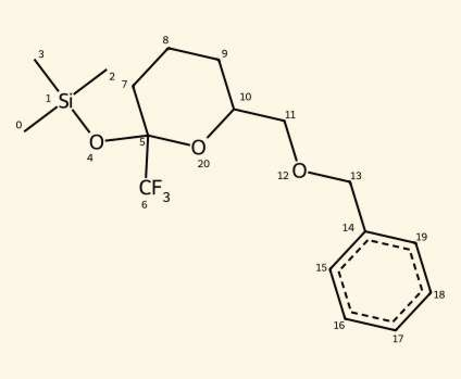 C[Si](C)(C)OC1(C(F)(F)F)CCCC(COCc2ccccc2)O1